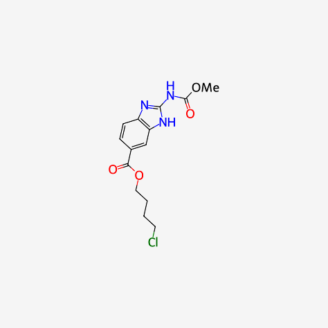 COC(=O)Nc1nc2ccc(C(=O)OCCCCCl)cc2[nH]1